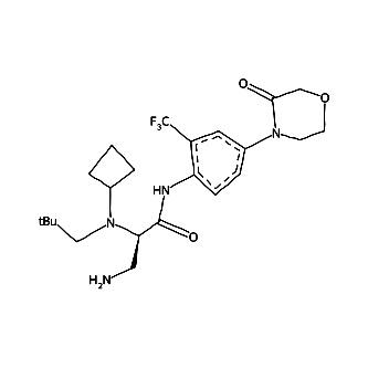 CC(C)(C)CN(C1CCC1)[C@H](CN)C(=O)Nc1ccc(N2CCOCC2=O)cc1C(F)(F)F